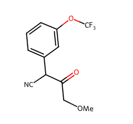 COCC(=O)C(C#N)c1cccc(OC(F)(F)F)c1